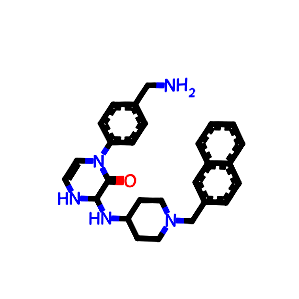 NCc1ccc(N2C=CNC(NC3CCN(Cc4ccc5ccccc5c4)CC3)C2=O)cc1